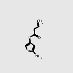 C=CCC(=O)Oc1csc(N)c1